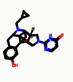 O=c1ccnc(N2C[C@H]3CC45CCC2C3C42CCN(CC3CC3)C5Cc3ccc(O)cc32)[nH]1